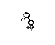 Clc1ncccc1-c1ccc2cn[nH]c2c1